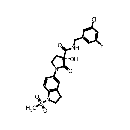 CS(=O)(=O)N1CCc2cc(N3CC[C@@](O)(C(=O)NCc4cc(F)cc(Cl)c4)C3=O)ccc21